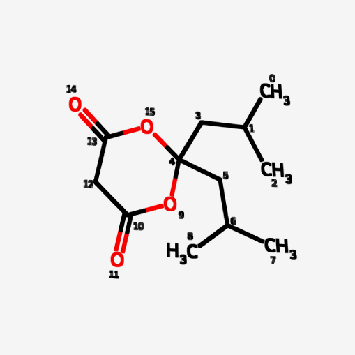 CC(C)CC1(CC(C)C)OC(=O)CC(=O)O1